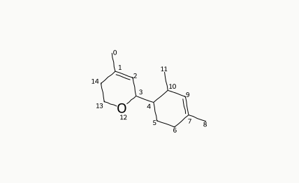 CC1=CC(C2CCC(C)=CC2C)OCC1